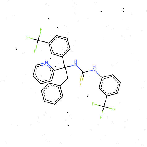 FC(F)(F)c1cccc(NC(=S)NC(Cc2ccccc2)(c2cccc(C(F)(F)F)c2)c2ccccn2)c1